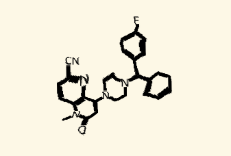 Cn1c(=O)cc(N2CCN(C(c3ccccc3)c3ccc(F)cc3)CC2)c2nc(C#N)ccc21